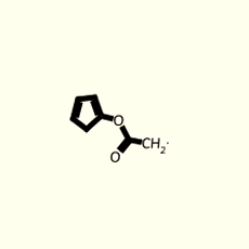 [CH2]C(=O)OC1=CC=CC1